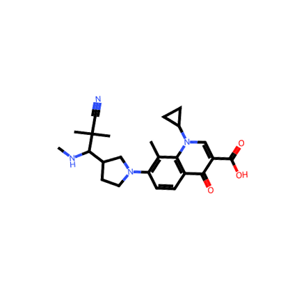 CNC(C1CCN(c2ccc3c(=O)c(C(=O)O)cn(C4CC4)c3c2C)C1)C(C)(C)C#N